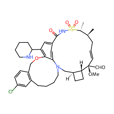 CO[C@]1(C=O)/C=C/C[C@H](C)[C@@H](C)S(=O)(=O)NC(=O)c2cc(C3CCCCN3)c3c(c2)N(CCCCc2cc(Cl)ccc2CO3)C[C@@H]2CC[C@H]21